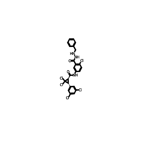 O=C(NNCc1ccccc1)c1cc(NC(=O)[C@H]2[C@H](c3cc(Cl)cc(Cl)c3)C2(Cl)Cl)ccc1Cl